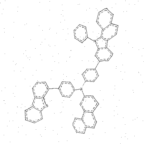 c1ccc(-n2c3cc(-c4ccc(N(c5ccc(-c6cccc7c6sc6ccccc67)cc5)c5ccc6ccc7ccccc7c6c5)cc4)ccc3c3ccc4ccccc4c32)cc1